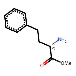 COC(=O)[C@@H](N)CCc1ccccc1